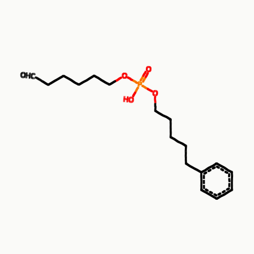 O=CCCCCCOP(=O)(O)OCCCCCc1ccccc1